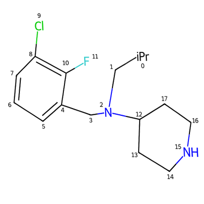 CC(C)CN(Cc1cccc(Cl)c1F)C1CCNCC1